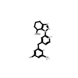 CNC1CCCc2nnn(-c3cc(Cc4cc(F)cc(C(F)(F)F)c4)ccn3)c21